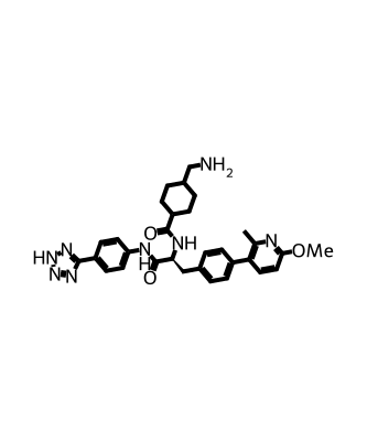 COc1ccc(-c2ccc(C[C@H](NC(=O)C3CCC(CN)CC3)C(=O)Nc3ccc(-c4nn[nH]n4)cc3)cc2)c(C)n1